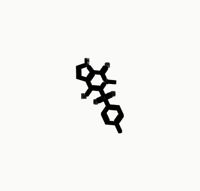 Cc1ccc(S(=O)(=O)c2c(Br)c3cc[nH]c3c(=O)n2C)cc1